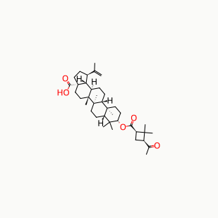 C=C(C)[C@@H]1CC[C@]2(C(=O)O)CC[C@]3(C)[C@H](CC[C@@H]4[C@@]5(C)CC[C@H](OC(=O)[C@@H]6C[C@H](C(C)=O)C6(C)C)C(C)(C)[C@@H]5CC[C@]43C)[C@@H]12